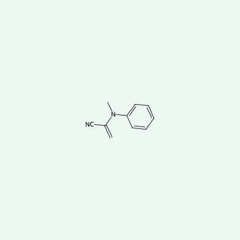 C=C(C#N)N(C)c1ccccc1